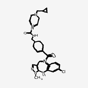 Cn1ncc2c1Nc1cc(Cl)ccc1N(C(=O)C1CCC(CNC(=O)N3CCN(CC4CC4)CC3)CC1)C2